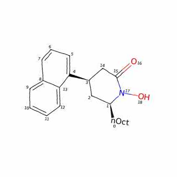 CCCCCCCC[C@H]1C[C@@H](c2cccc3ccccc23)CC(=O)N1O